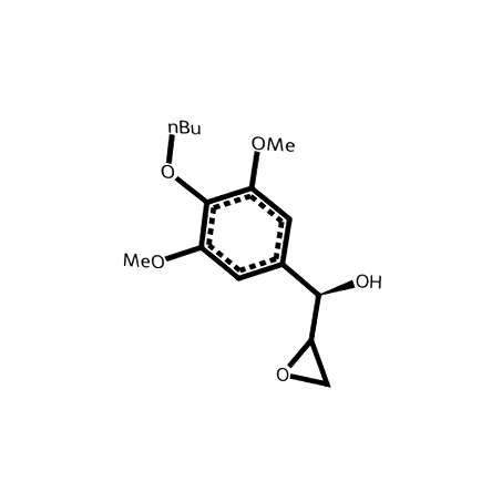 CCCCOc1c(OC)cc([C@@H](O)C2CO2)cc1OC